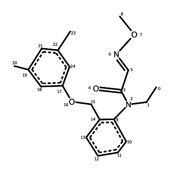 CCN(C(=O)C=NOC)c1ccccc1COc1cc(C)cc(C)c1